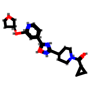 O=C(C1CC1)N1CCC(c2noc(-c3ccnc(O[C@@H]4CCOC4)c3)n2)CC1